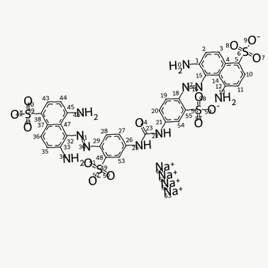 Nc1ccc2c(S(=O)(=O)[O-])ccc(N)c2c1N=Nc1ccc(NC(=O)Nc2ccc(N=Nc3c(N)ccc4c(S(=O)(=O)[O-])ccc(N)c34)c(S(=O)(=O)[O-])c2)cc1S(=O)(=O)[O-].[Na+].[Na+].[Na+].[Na+]